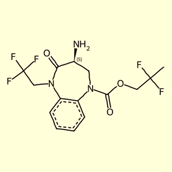 CC(F)(F)COC(=O)N1C[C@H](N)C(=O)N(CC(F)(F)F)c2ccccc21